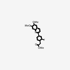 COC(=O)Cc1ccc(-c2ccc3cc(OC)c(OC)cc3n2)cc1F